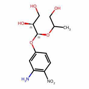 CC(CO)O[C@@H](Oc1ccc([N+](=O)[O-])c(N)c1)[C@@H](O)CO